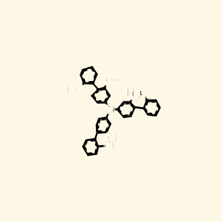 Cc1ccccc1-c1ccc(N(c2ccc(-c3ccccc3C)c(C)c2)c2ccc(-c3ccccc3C)c(C)c2)cc1C